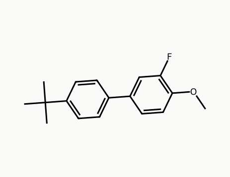 COc1ccc(-c2ccc(C(C)(C)C)cc2)cc1F